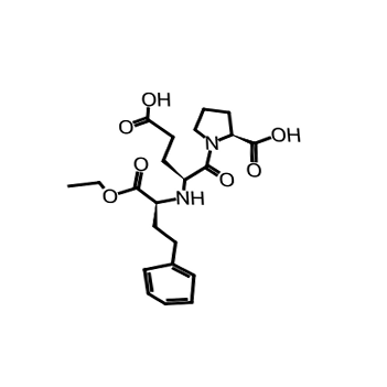 CCOC(=O)[C@H](CCc1ccccc1)N[C@@H](CCC(=O)O)C(=O)N1CCC[C@H]1C(=O)O